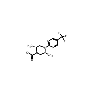 C[C@@H]1CN(c2ncc(C(F)(F)F)cn2)[C@@H](C)CN1C(=O)Cl